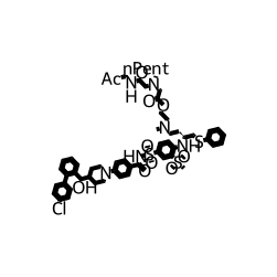 CCCCCC(NC(=O)CN(C)CC(=O)OCCN(C)CC[C@H](CSc1ccccc1)Nc1ccc(S(=O)(=O)NC(=O)c2ccc(N3CCC([C@@H](O)c4ccccc4-c4ccc(Cl)cc4)CC3)cc2)cc1S(C)(=O)=O)C(C)=O